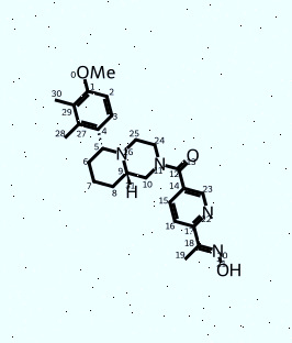 COc1ccc([C@H]2CCC[C@H]3CN(C(=O)c4ccc(/C(C)=N/O)nc4)CCN32)c(C)c1C